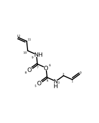 C=CCNC(=O)OC(=O)NCC=C